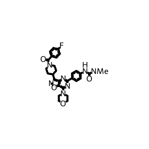 CNC(=O)Nc1ccc(-c2nc(N3CCOCC3)c3onc(C4CCN(C(=O)c5ccc(F)cc5)CC4)c3n2)cc1